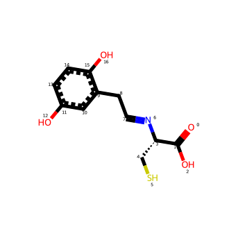 O=C(O)[C@H](CS)N=CCc1cc(O)ccc1O